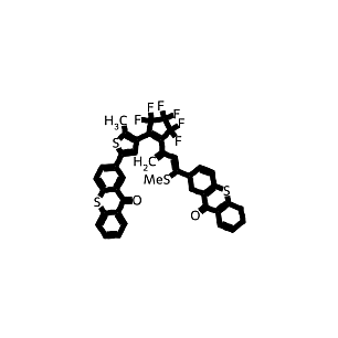 C=C(/C=C(\SC)C1C=Cc2sc3c(c(=O)c2C1)C=CCC3)C1=C(c2cc(-c3ccc4sc5ccccc5c(=O)c4c3)sc2C)C(F)(F)C(F)(F)C1(F)F